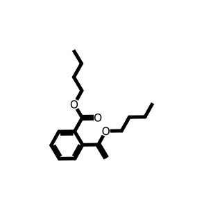 C=C(OCCCC)c1ccccc1C(=O)OCCCC